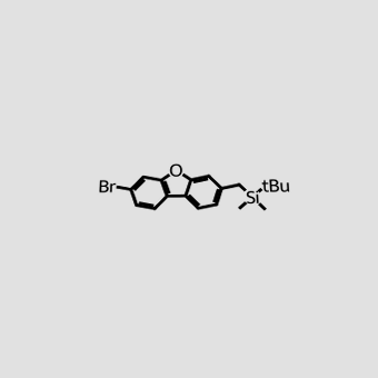 CC(C)(C)[Si](C)(C)Cc1ccc2c(c1)oc1cc(Br)ccc12